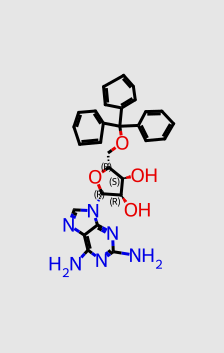 Nc1nc(N)c2ncn([C@@H]3O[C@H](COC(c4ccccc4)(c4ccccc4)c4ccccc4)[C@@H](O)[C@H]3O)c2n1